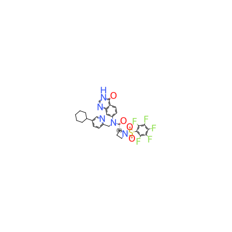 O=C([C@H]1CCN1S(=O)(=O)c1c(F)c(F)c(F)c(F)c1F)N(Cc1ccc(C2CCCCC2)cn1)c1ccc2c(=O)[nH]cnc2c1